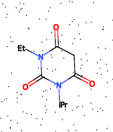 CCN1C(=O)CC(=O)N(C(C)C)C1=O